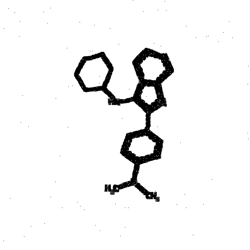 CN(C)c1ccc(-c2nc3ccccn3c2NC2CCCCC2)cc1